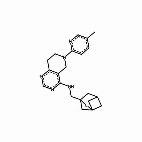 Cc1ccc(N2CCc3ncnc(NCC45CC6CC(C6)(C4)C5)c3C2)nc1